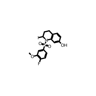 COc1cc(S(=O)(=O)N2c3cc(O)ccc3CCC2I)ccc1F